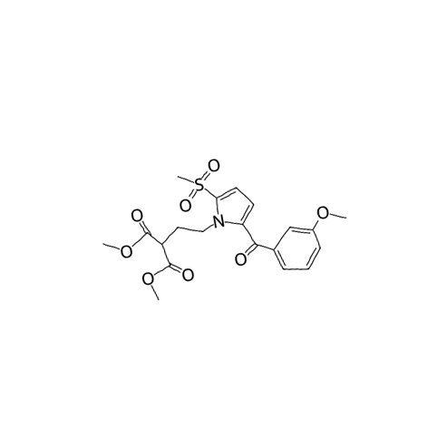 COC(=O)C(CCn1c(C(=O)c2cccc(OC)c2)ccc1S(C)(=O)=O)C(=O)OC